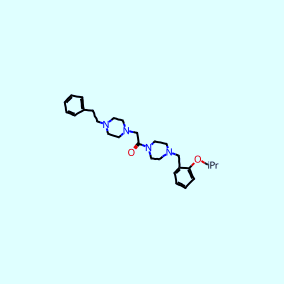 CC(C)Oc1ccccc1CN1CCN(C(=O)CN2CCN(CCc3ccccc3)CC2)CC1